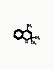 CC1(C)C=C(N)c2ccccc2N1